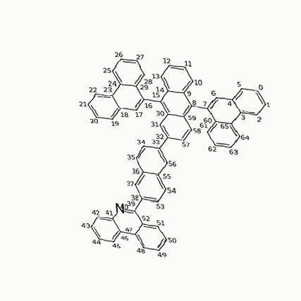 c1ccc2c(c1)cc(-c1c3ccccc3c(-c3cc4ccccc4c4ccccc34)c3cc(-c4ccc5cc(-c6nc7ccccc7c7ccccc67)ccc5c4)ccc13)c1ccccc12